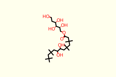 CC(C)(C)CC(C)(C)CC(O)C(O)CC(C)(C)CC(C)(C)CC(=O)OC[C@@H](O)[C@@H](O)[C@H](O)CCO